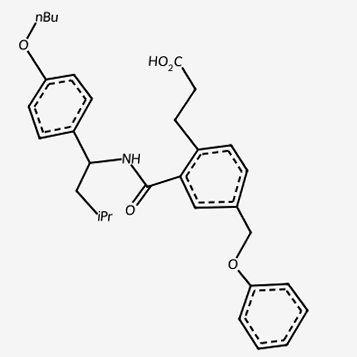 CCCCOc1ccc(C(CC(C)C)NC(=O)c2cc(COc3ccccc3)ccc2CCC(=O)O)cc1